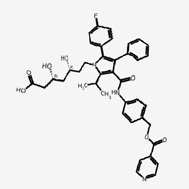 CC(C)c1c(C(=O)Nc2ccc(COC(=O)c3ccncc3)cc2)c(-c2ccccc2)c(-c2ccc(F)cc2)n1CC[C@@H](O)C[C@@H](O)CC(=O)O